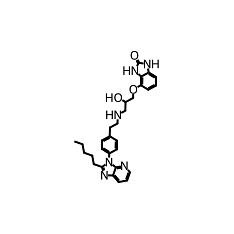 CCCCCc1nc2cccnc2n1-c1ccc(CCNCC(O)COc2cccc3[nH]c(=O)[nH]c23)cc1